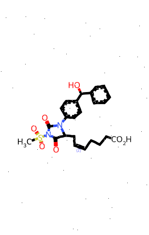 CS(=O)(=O)N1C(=O)C(C/C=C\CCCC(=O)O)N(c2ccc(C(O)c3ccccc3)cc2)C1=O